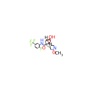 COc1cc(C[C@]2(C(=O)Nc3cc(C(F)(F)F)ccc3F)C[C@H]3O[C@@H]2C[C@@H]3O)ccn1